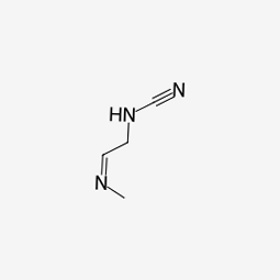 C/N=C\CNC#N